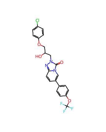 O=c1n(CC(O)COc2ccc(Cl)cc2)nc2ccc(-c3ccc(OC(F)(F)F)cc3)cn12